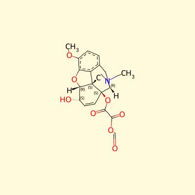 COc1ccc2c3c1O[C@H]1[C@@H](O)C=C[C@@]4(OC(=O)C(=O)OC=O)[C@@H](C2)N(C)CC[C@]314